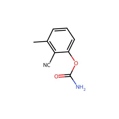 Cc1cccc(OC(N)=O)c1C#N